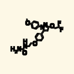 COc1ccc(-n2nc(OCC(F)F)cc2-c2ccc(OCCNC(N)=O)cc2)cc1